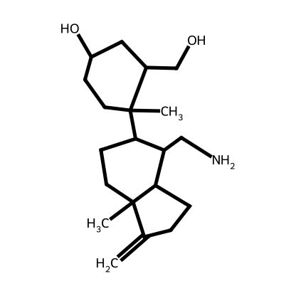 C=C1CCC2C(CN)C(C3(C)CCC(O)CC3CO)CCC12C